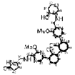 COc1nc(-c2cccc(-c3cccc(-c4cnc(CN[C@@H]5COCC[C@H]5O)c(OC)n4)c3Cl)c2Cl)cnc1CNC[C@@H]1CCC(=O)N1